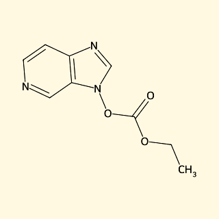 CCOC(=O)On1cnc2ccncc21